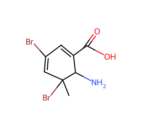 CC1(Br)C=C(Br)C=C(C(=O)O)C1N